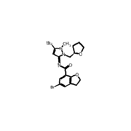 Cn1c(C(C)(C)C)cc(=NC(=O)c2cc(Br)cc3c2OCC3)n1C[C@H]1CCCO1